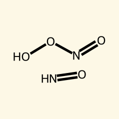 N=O.O=NOO